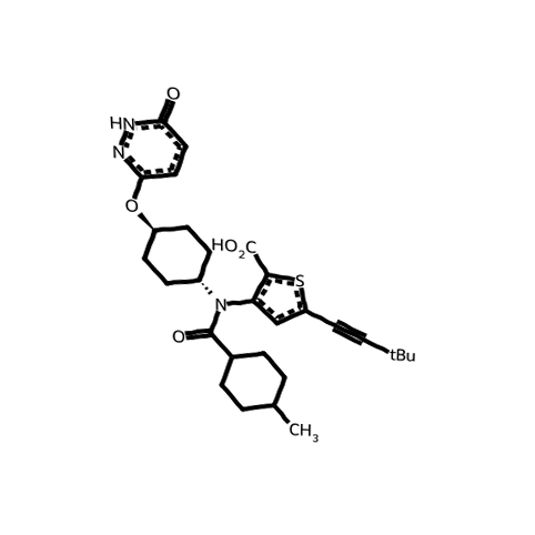 CC1CCC(C(=O)N(c2cc(C#CC(C)(C)C)sc2C(=O)O)[C@H]2CC[C@H](Oc3ccc(=O)[nH]n3)CC2)CC1